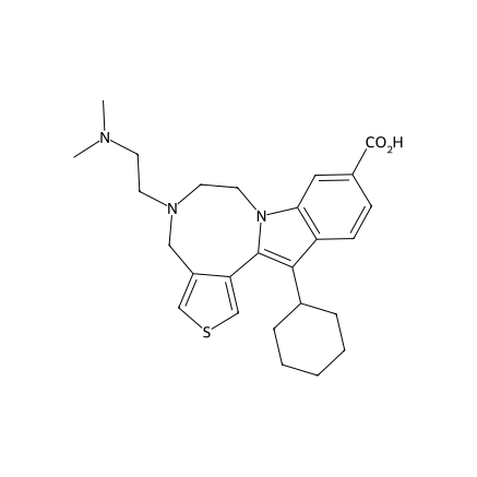 CN(C)CCN1CCn2c(c(C3CCCCC3)c3ccc(C(=O)O)cc32)-c2cscc2C1